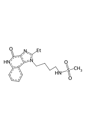 CCc1nc2c(=O)[nH]c3ccccc3c2n1CCCCNS(C)(=O)=O